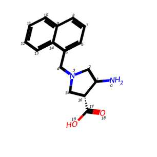 NC1CN(Cc2cccc3ccccc23)C[C@H]1C(=O)O